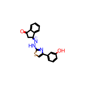 O=C1C/C(=N\Nc2nc(-c3cccc(O)c3)cs2)c2ccccc21